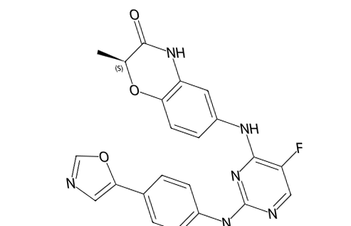 C[C@@H]1Oc2ccc(Nc3nc(Nc4ccc(-c5cnco5)cc4)ncc3F)cc2NC1=O